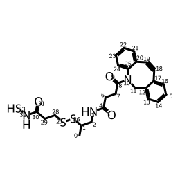 CC(CNC(=O)CCC(=O)N1Cc2ccccc2C#Cc2ccccc21)SSCCC(=O)NS